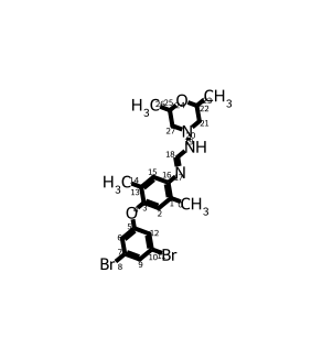 Cc1cc(Oc2cc(Br)cc(Br)c2)c(C)cc1N=CNN1CC(C)OC(C)C1